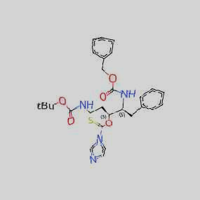 CC(C)(C)OC(=O)NCC[C@H](OC(=S)n1ccnc1)[C@H](Cc1ccccc1)NC(=O)OCc1ccccc1